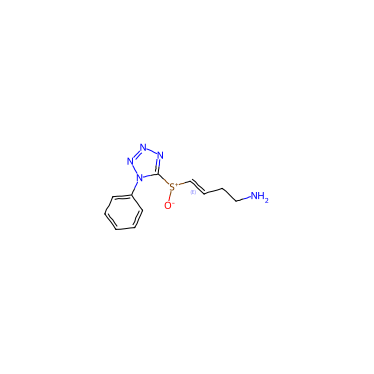 NCC/C=C/[S+]([O-])c1nnnn1-c1ccccc1